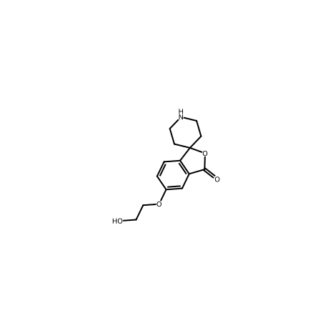 O=C1OC2(CCNCC2)c2ccc(OCCO)cc21